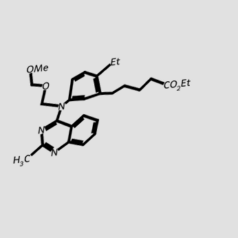 CCOC(=O)CCCCc1cc(N(COCOC)c2nc(C)nc3ccccc23)ccc1CC